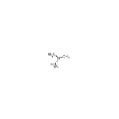 CN(C)C.[Pd]